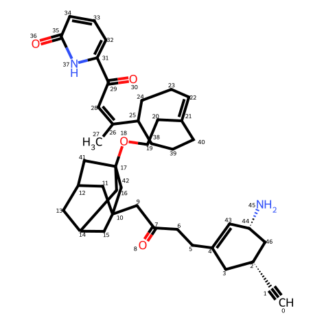 C#C[C@@H]1CC(CCC(=O)CC23CC4CC(C2)CC(OCC/C2=C\CCC(/C(C)=C\C(=O)c5cccc(=O)[nH]5)CCC2)(C4)C3)=C[C@H](N)C1